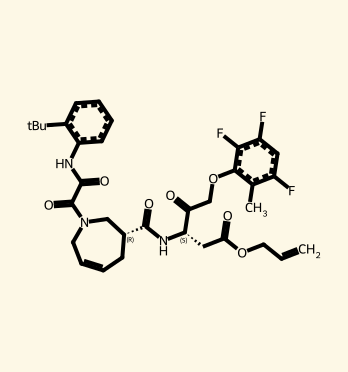 C=CCOC(=O)C[C@H](NC(=O)[C@@H]1CC=CCN(C(=O)C(=O)Nc2ccccc2C(C)(C)C)C1)C(=O)COc1c(C)c(F)cc(F)c1F